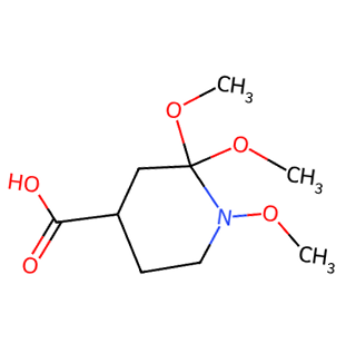 CON1CCC(C(=O)O)CC1(OC)OC